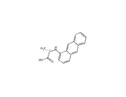 C[C@H](Nc1cccc2cc3ccccc3cc12)C(=O)O